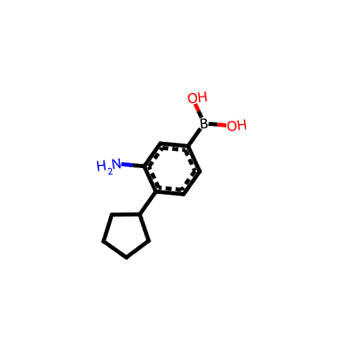 Nc1cc(B(O)O)ccc1C1CCCC1